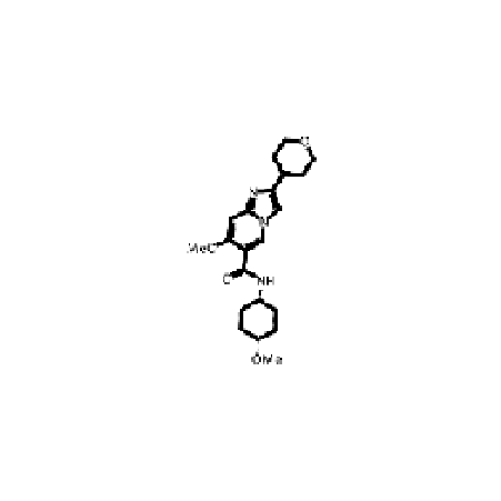 COc1cc2nc(C3CCOCC3)cn2cc1C(=O)N[C@H]1CC[C@@H](OC)CC1